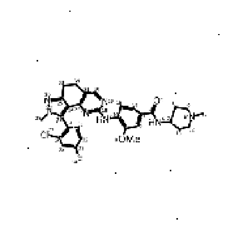 COc1cc(C(=O)NC2CCN(C)CC2)ccc1Nc1ncc2c(n1)-c1c(nn(C)c1-c1ccc(F)cc1Cl)CC2